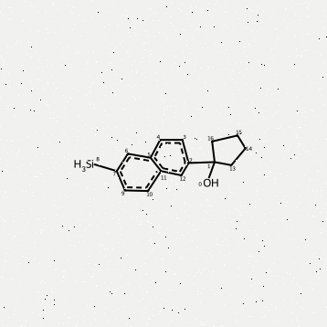 OC1(c2ccc3cc([SiH3])ccc3c2)CCCC1